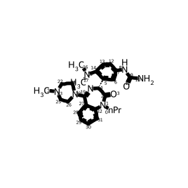 CCCN1C(=O)[C@@H](c2cc(NC(N)=O)ccc2N(C)C)N=C(N2CCN(C)CC2)c2ccccc21